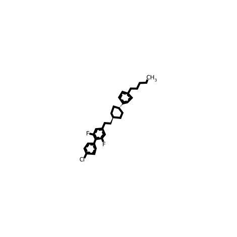 CCCCCc1ccc([C@H]2CC[C@H](CCc3cc(F)c(-c4ccc(Cl)cc4)c(F)c3)CC2)cc1